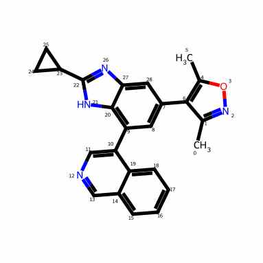 Cc1noc(C)c1-c1cc(-c2cncc3ccccc23)c2[nH]c(C3CC3)nc2c1